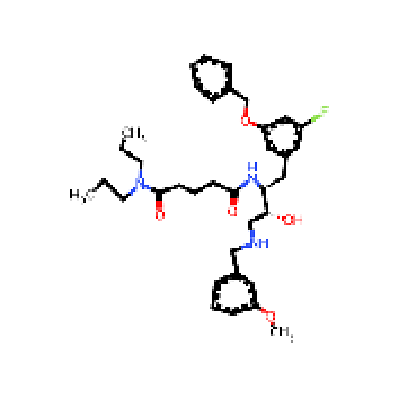 CCCN(CCC)C(=O)CCCC(=O)N[C@@H](Cc1cc(F)cc(OCc2ccccc2)c1)[C@H](O)CNCc1cccc(OC)c1